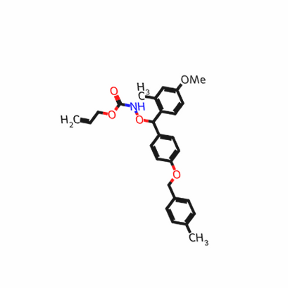 C=CCOC(=O)NOC(c1ccc(OCc2ccc(C)cc2)cc1)c1ccc(OC)cc1C